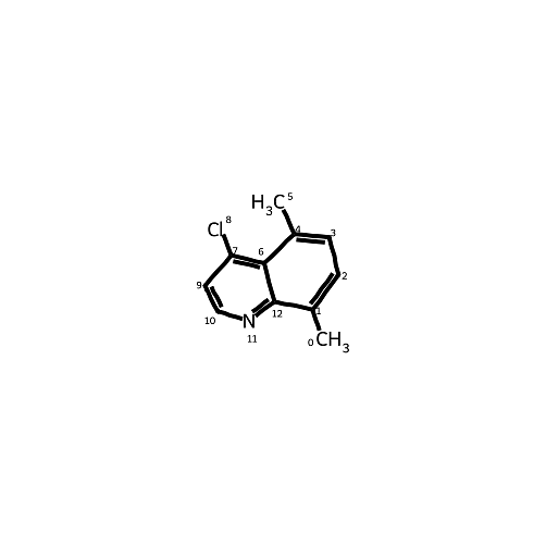 Cc1ccc(C)c2c(Cl)[c]cnc12